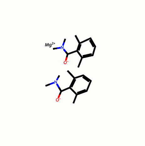 Cc1cccc(C)c1C([O-])N(C)C.Cc1cccc(C)c1C([O-])N(C)C.[Mg+2]